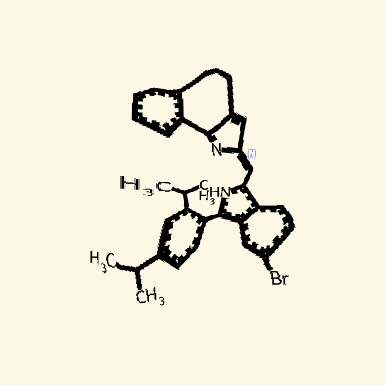 CC(C)c1ccc(-c2[nH]c(/C=C3/C=C4CCc5ccccc5C4=N3)c3ccc(Br)cc23)c(C(C)C)c1